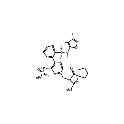 CCCCC1=NC2(CCCC2)C(=O)N1Cc1ccc(-c2ccccc2S(=O)(=O)Nc2onc(C)c2C)c(NS(=O)(=O)CCC)c1